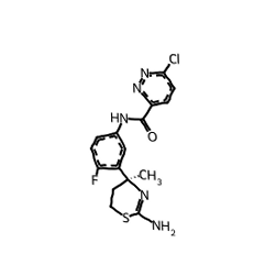 C[C@@]1(c2cc(NC(=O)c3ccc(Cl)nn3)ccc2F)CCSC(N)=N1